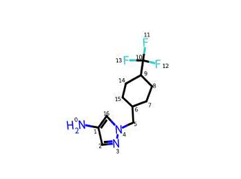 Nc1cnn(CC2CCC(C(F)(F)F)CC2)c1